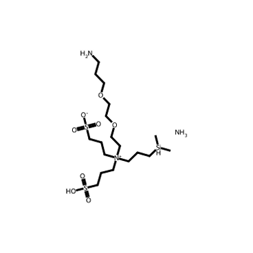 C[SiH](C)CCC[N+](CCCS(=O)(=O)[O-])(CCCS(=O)(=O)O)CCOCCOCCCN.N